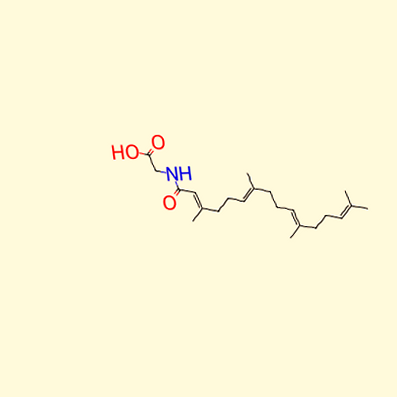 CC(C)=CCCC(C)=CCCC(C)=CCCC(C)=CC(=O)NCC(=O)O